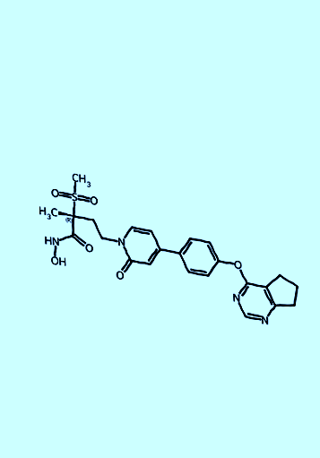 C[C@@](CCn1ccc(-c2ccc(Oc3ncnc4c3CCC4)cc2)cc1=O)(C(=O)NO)S(C)(=O)=O